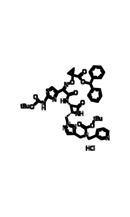 CC(C)(C)OC(=O)Nc1nc(/C(=N/OC2(C(=O)OC(c3ccccc3)c3ccccc3)CC2)C(=O)N[C@@H]2C(=O)N[C@@H]2Cn2ncc(CN(Cc3cccnc3)C(=O)OC(C)(C)C)n2)cs1.Cl